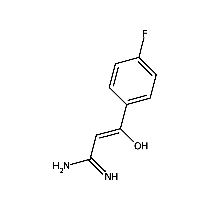 N=C(N)/C=C(\O)c1ccc(F)cc1